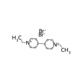 CC[n+]1ccc(-c2cc[n+](CC)cc2)cc1.[Br-].[Br-]